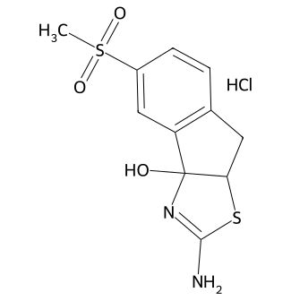 CS(=O)(=O)c1ccc2c(c1)C1(O)N=C(N)SC1C2.Cl